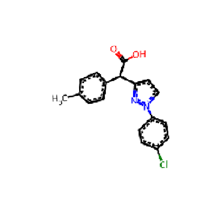 Cc1ccc(C(C(=O)O)c2ccn(-c3ccc(Cl)cc3)n2)cc1